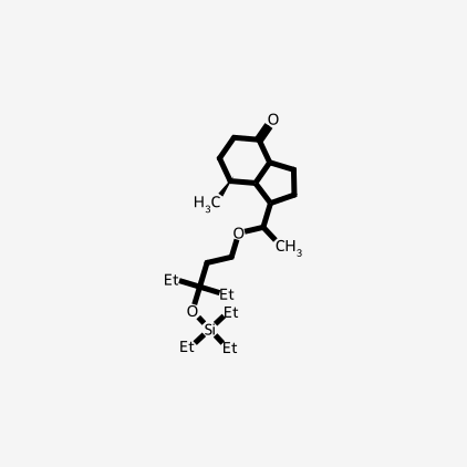 CCC(CC)(CCOC(C)C1CCC2C(=O)CC[C@H](C)C21)O[Si](CC)(CC)CC